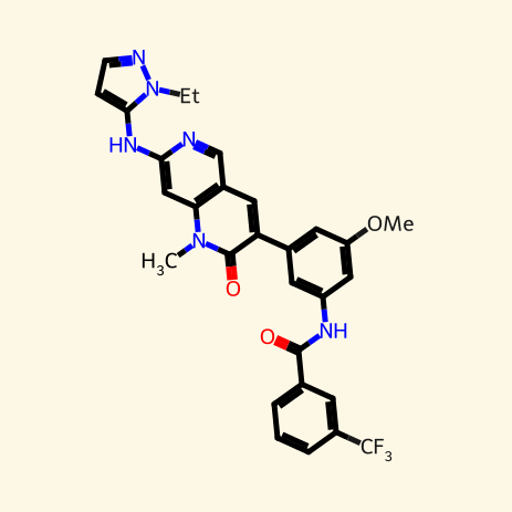 CCn1nccc1Nc1cc2c(cn1)cc(-c1cc(NC(=O)c3cccc(C(F)(F)F)c3)cc(OC)c1)c(=O)n2C